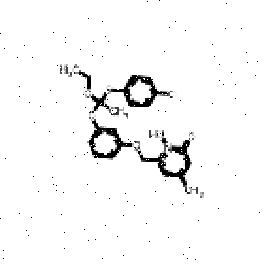 CCOC(C)(Oc1cccc(OCc2cc(C)cc(=O)n2O)c1)Sc1ccc(Cl)cc1